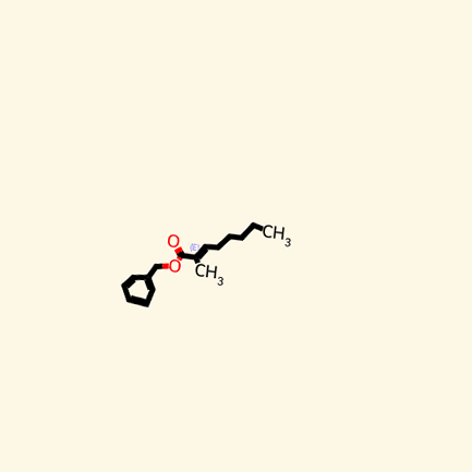 CCCCC/C=C(\C)C(=O)OCc1ccccc1